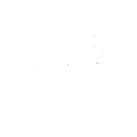 CCCn1cc(CNC(=O)C(c2ccccc2)(c2ccccc2)C(C)C)nn1